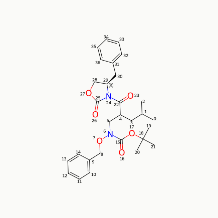 CC(C)CC(CN(OCc1ccccc1)C(=O)OC(C)(C)C)C(=O)N1C(=O)OC[C@H]1Cc1ccccc1